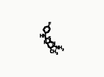 Cc1cc2nc(Nc3ccc(F)cc3)sc2nc1N